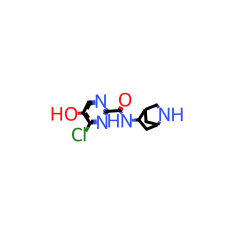 O=C(NC1CC2CC1CN2)c1ncc(O)c(Cl)n1